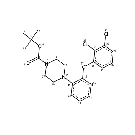 CC(C)(C)OC(=O)N1CCN(c2cccnc2Oc2cccc(Cl)c2Cl)CC1